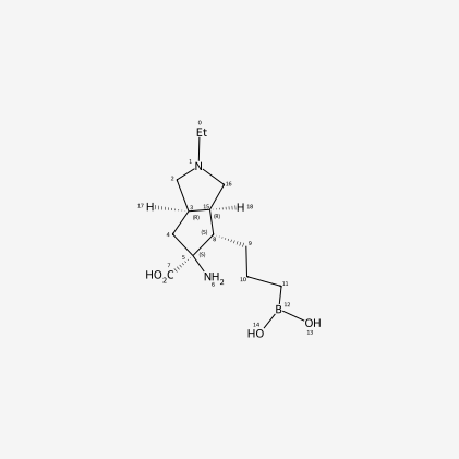 CCN1C[C@@H]2C[C@@](N)(C(=O)O)[C@@H](CCCB(O)O)[C@@H]2C1